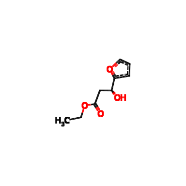 CCOC(=O)C[C@H](O)c1ccco1